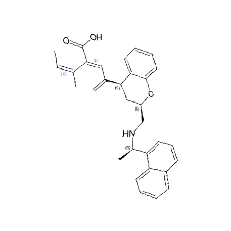 C=C(/C=C(C(=O)O)\C(C)=C/C)[C@@H]1C[C@H](CN[C@H](C)c2cccc3ccccc23)Oc2ccccc21